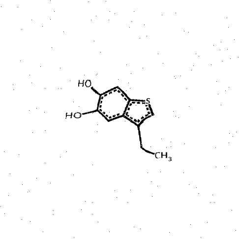 CCc1csc2cc(O)c(O)cc12